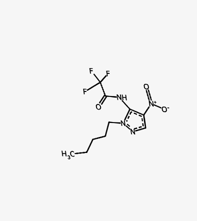 CCCCCn1ncc([N+](=O)[O-])c1NC(=O)C(F)(F)F